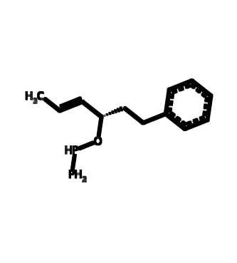 C/C=C/[C@H](CCc1ccccc1)OPP